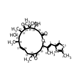 C/C(=C\c1csc(C)n1)C1CC2O[C@]2(C)C/C=C/C(C)[C@H](O)C(C)C(=O)C(C)(C)[C@@H](O)CC(=O)O1